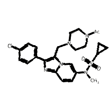 CC(=O)N1CCN(Cc2c(-c3ccc(Cl)cc3)nc3ccc(N(C)S(=O)(=O)C4CC4)cn23)CC1